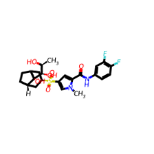 C[C@H](O)[C@@H](O)[C@@]1(O)C2CC[C@H]1C[C@H](S(=O)(=O)c1cc(C(=O)Nc3ccc(F)c(F)c3)n(C)c1)C2